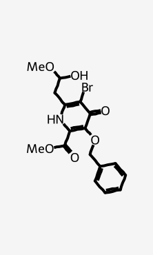 COC(=O)c1[nH]c(CC(O)OC)c(Br)c(=O)c1OCc1ccccc1